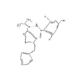 CC(C)[C@H](NC(=O)c1c(F)cc(F)cc1F)C1=NC(Cc2ccccc2)CO1